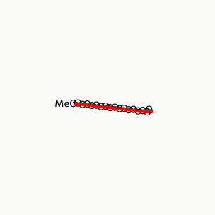 C=CC(=O)OCCOCCOCCOCCOCCOCCOCCOCCOCCOCCOCCOCCOCCOCCOCCOCCOC